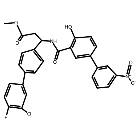 COC(=O)CC(NC(=O)c1cc(-c2cccc([N+](=O)[O-])c2)ccc1O)c1ccc(-c2ccc(F)c(Cl)c2)cc1